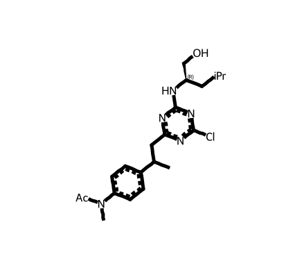 CC(=O)N(C)c1ccc(C(C)Cc2nc(Cl)nc(N[C@@H](CO)CC(C)C)n2)cc1